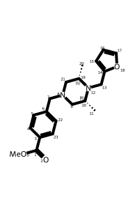 COC(=O)c1ccc(CN2C[C@@H](C)N(Cc3ccco3)[C@@H](C)C2)cc1